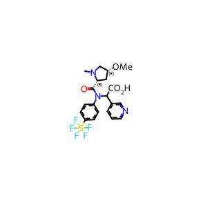 CO[C@@H]1C[C@H](C(=O)N(c2ccc(S(F)(F)(F)(F)F)cc2)C(C(=O)O)c2cccnc2)N(C)C1